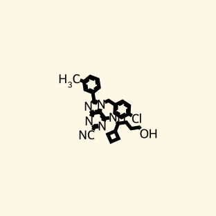 Cc1cccc(-c2nc3nc(C#N)nc(NC(CCCO)C4CCC4)c3n2Cc2ccc(Cl)cc2)c1